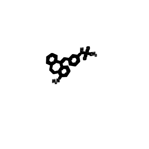 CS(=O)(=O)Nc1cccc(C=C2c3ccccc3CCc3c(N)cccc32)c1